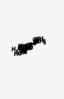 COc1ccc(-c2cccc(C(=O)N(C)C)c2)cc1S(=O)(=O)Nc1cccc(/N=N\c2ccc(N(C)C)cc2CO)c1